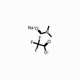 CN(C)C=O.O=C([O-])C(F)(F)F.[Na+]